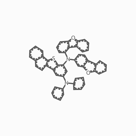 c1ccc(N(c2ccccc2)c2cc(N(c3ccc4c(c3)oc3ccccc34)c3cccc4oc5ccccc5c34)c3sc4c5ccccc5ccc4c3c2)cc1